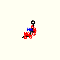 CCOC(=O)CP(=O)(O)CC[C@H](NC(=O)OCc1ccccc1)C(=O)OC